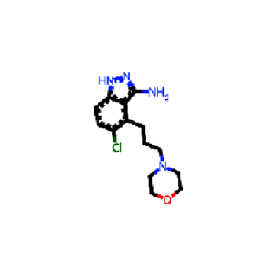 Nc1n[nH]c2ccc(Cl)c(CCCN3CCOCC3)c12